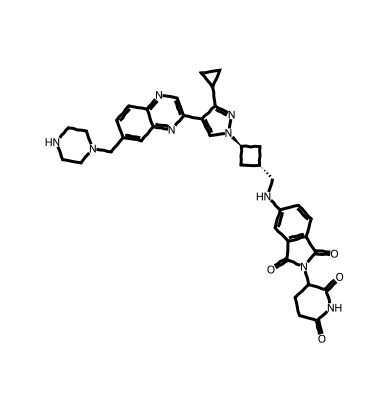 O=C1CCC(N2C(=O)c3ccc(NC[C@H]4C[C@H](n5cc(-c6cnc7ccc(CN8CCNCC8)cc7n6)c(C6CC6)n5)C4)cc3C2=O)C(=O)N1